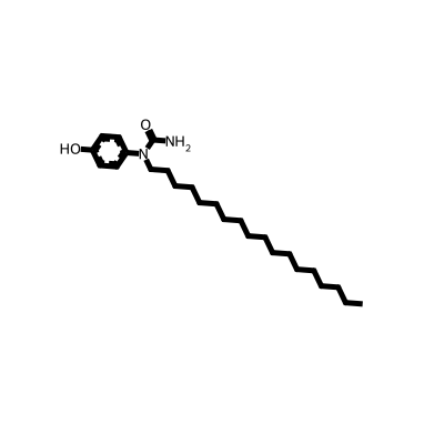 CCCCCCCCCCCCCCCCCCN(C(N)=O)c1ccc(O)cc1